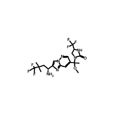 COC(C)(c1cnn2cc([C@@H](N)CC(C)(C)C(F)(F)F)nc2c1)N1CC(C(F)(F)F)NC1=O